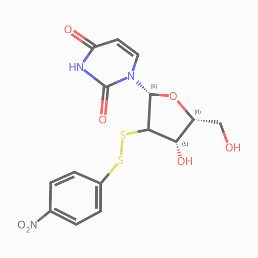 O=c1ccn([C@@H]2O[C@H](CO)[C@H](O)C2SSc2ccc([N+](=O)[O-])cc2)c(=O)[nH]1